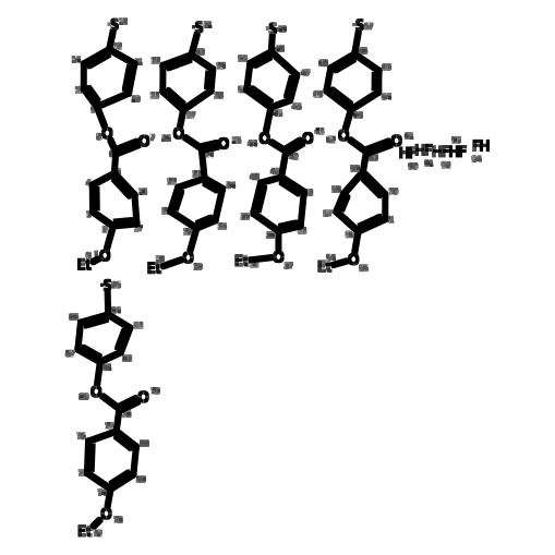 CCOc1ccc(C(=O)Oc2ccc([S])cc2)cc1.CCOc1ccc(C(=O)Oc2ccc([S])cc2)cc1.CCOc1ccc(C(=O)Oc2ccc([S])cc2)cc1.CCOc1ccc(C(=O)Oc2ccc([S])cc2)cc1.CCOc1ccc(C(=O)Oc2ccc([S])cc2)cc1.F.F.F.F.F